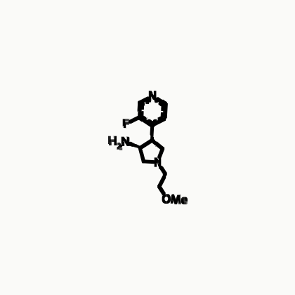 COCCN1CC(c2ccncc2F)[C@H](N)C1